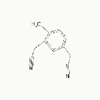 Cc1ccc(CC#N)cc1CC#N